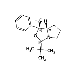 CC(C)(C)[P@@]1O[C@](C)(c2ccccc2)[C@@H]2CCCN21